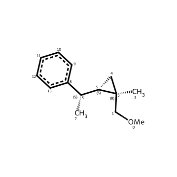 COC[C@]1(C)C[C@H]1[C@H](C)c1ccccc1